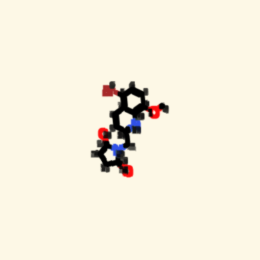 COc1ccc(Br)c2ccc(CN3C(=O)CCC3=O)nc12